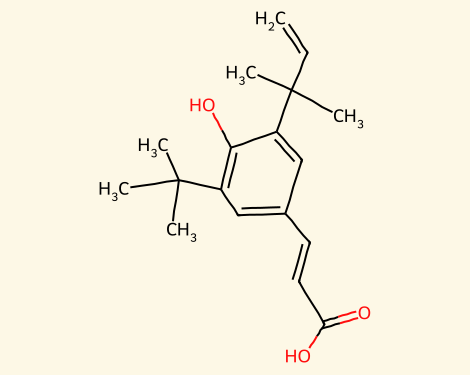 C=CC(C)(C)c1cc(C=CC(=O)O)cc(C(C)(C)C)c1O